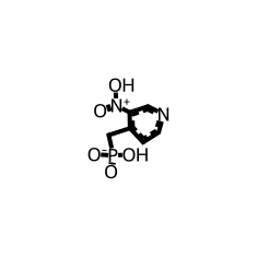 O=[N+](O)c1cnccc1CP(=O)([O-])O